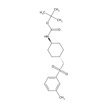 Cc1cccc(S(=O)(=O)C[C@H]2CC[C@H](NC(=O)OC(C)(C)C)CC2)c1